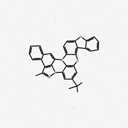 Cc1nn2c3c(cc4ccccc4c13)B1c3ccc4oc5ccccc5c4c3Oc3cc(C(C)(C)C)cc-2c31